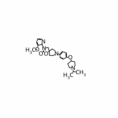 COc1cccnc1N1CC2(CCN(c3ccc(OC4CCN(C(C)C)CC4)cc3)CC2)OC1=O